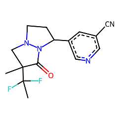 CC(F)(F)C1(C)CN2CCC(c3cncc(C#N)c3)N2C1=O